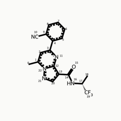 Cc1cc(-c2ccccc2C#N)nc2c(C(=O)N[C@H](C)C(F)(F)F)cnn12